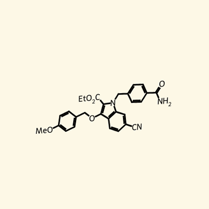 CCOC(=O)c1c(OCc2ccc(OC)cc2)c2ccc(C#N)cc2n1Cc1ccc(C(N)=O)cc1